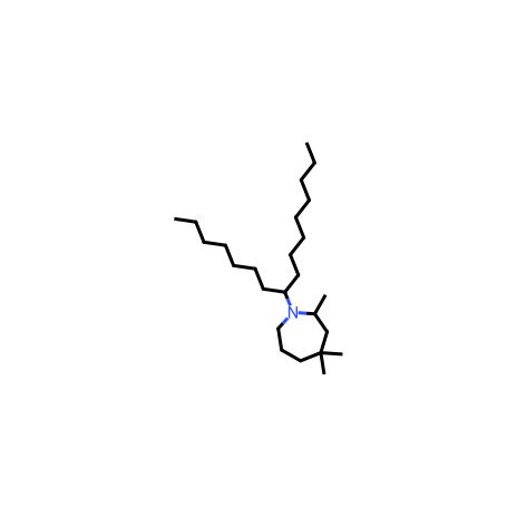 CCCCCCCCC(CCCCCCC)N1CCCC(C)(C)CC1C